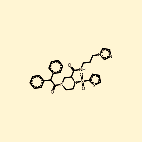 O=C(NCCCn1ccnc1)C1CN(C(=O)C(c2ccccc2)c2ccccc2)CCN1S(=O)(=O)c1cccs1